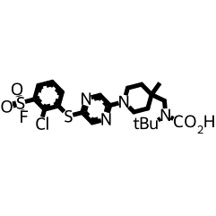 CC1(CN(C(=O)O)C(C)(C)C)CCN(c2cnc(Sc3cccc(S(=O)(=O)F)c3Cl)cn2)CC1